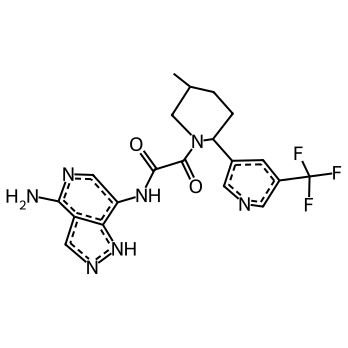 CC1CCC(c2cncc(C(F)(F)F)c2)N(C(=O)C(=O)Nc2cnc(N)c3cn[nH]c23)C1